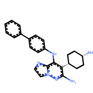 Nc1nn2ccnc2c(Nc2ccc(-c3ccccc3)cc2)c1[C@H]1CC[C@@H](N)CC1